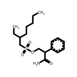 CCCCCC(CC)CS(=O)(=O)OCC(C(N)=O)c1ccccc1